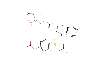 CC(=O)Nc1ccc(S(=O)(=O)N(CC(C)C)C[C@@H](O)[C@H](Cc2ccccc2)NC(=O)O[C@H]2CO[C@H]3OCC[C@H]32)cc1